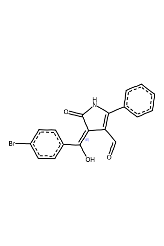 O=CC1=C(c2ccccc2)NC(=O)/C1=C(/O)c1ccc(Br)cc1